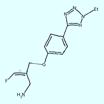 CCn1nnc(-c2ccc(OC/C(=C/F)CN)cc2)n1